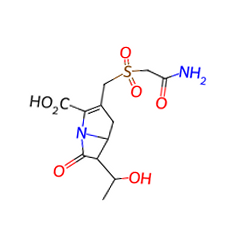 CC(O)C1C(=O)N2C(C(=O)O)=C(CS(=O)(=O)CC(N)=O)CC12